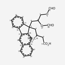 O=COCC(CC1(CC(CC(=O)O)C(=O)O)c2ccccc2-c2cc3ccccc3cc21)OC=O